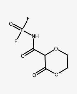 O=C(NP(=O)(F)F)C1OCCOC1=O